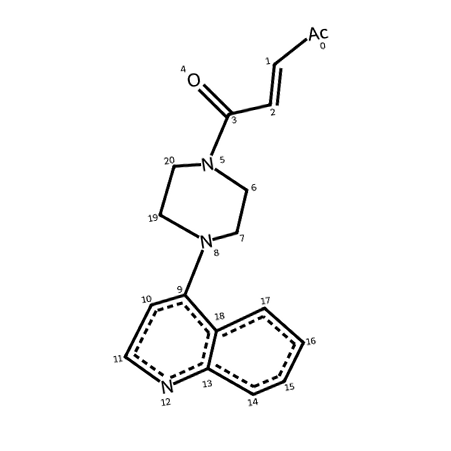 CC(=O)C=CC(=O)N1CCN(c2ccnc3ccccc23)CC1